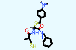 CC(CS)C(=O)N[C@@](C)(SCc1ccc(N(C)C)cc1)C(=O)NCc1ccccc1